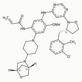 C=CC(=O)Nc1cc(Nc2cc(N3OCC[C@@H]3Cc3cccc(Cl)c3C)ncn2)c(OC)cc1N1CCC(N2C[C@@H]3C[C@H]2CO3)CC1